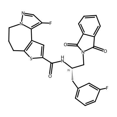 O=C(N[C@@H](Cc1cccc(F)c1)CN1C(=O)c2ccccc2C1=O)c1cc2c(s1)CCCn1ncc(F)c1-2